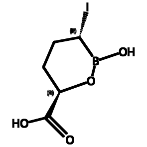 O=C(O)[C@H]1CC[C@H](I)B(O)O1